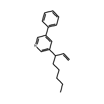 C=CC(CCCCC)c1cncc(-c2ccccc2)c1